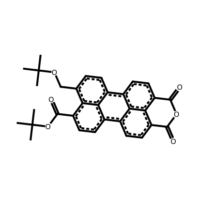 CC(C)(C)OCc1ccc2c3ccc4c5c(ccc(c6ccc(C(=O)OC(C)(C)C)c1c26)c53)C(=O)OC4=O